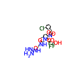 Cc1ccc(N(C)S(=O)(=O)Cc2cccc(Cl)c2)c(=O)n1CC(=O)NCCONC(=N)N.O=C(O)C(F)(F)F